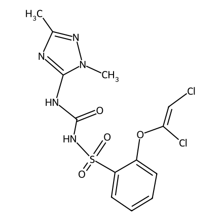 Cc1nc(NC(=O)NS(=O)(=O)c2ccccc2O/C(Cl)=C/Cl)n(C)n1